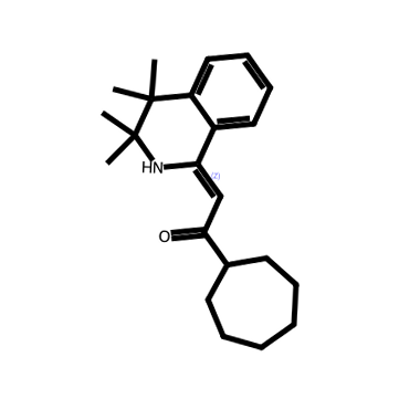 CC1(C)N/C(=C\C(=O)C2CCCCCC2)c2ccccc2C1(C)C